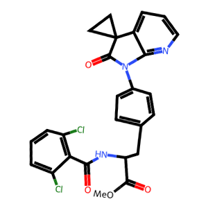 COC(=O)C(Cc1ccc(N2C(=O)C3(CC3)c3cccnc32)cc1)NC(=O)c1c(Cl)cccc1Cl